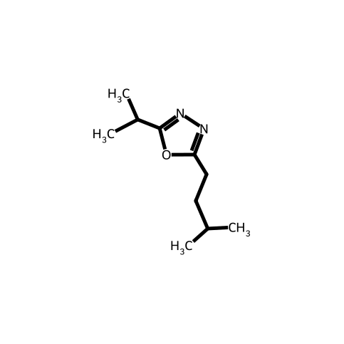 CC(C)CCc1nnc(C(C)C)o1